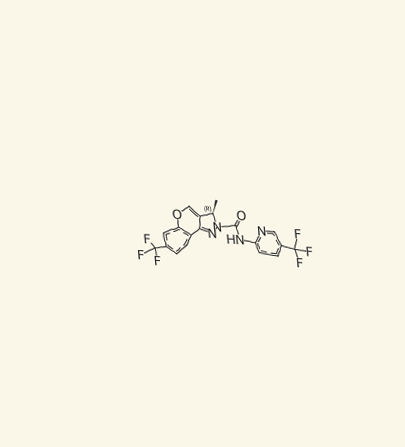 C[C@@H]1C2=COc3cc(C(F)(F)F)ccc3C2=NN1C(=O)Nc1ccc(C(F)(F)F)cn1